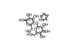 OC[C@H]1O[C@@H](O[C@H]2[C@H](O)[C@@H](O)[C@H](O)O[C@@H]2CO)[C@H](O)[C@@H](O)[C@H]1O.c1nnn[nH]1